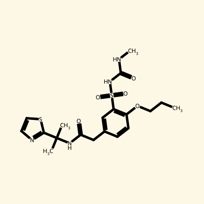 CCCOc1ccc(CC(=O)NC(C)(C)c2nccs2)cc1S(=O)(=O)NC(=O)NC